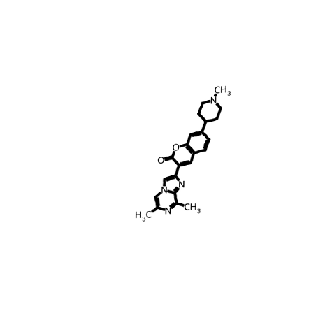 Cc1cn2cc(-c3cc4ccc(C5CCN(C)CC5)cc4oc3=O)nc2c(C)n1